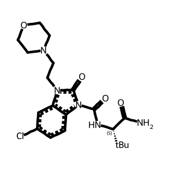 CC(C)(C)[C@H](NC(=O)n1c(=O)n(CCN2CCOCC2)c2cc(Cl)ccc21)C(N)=O